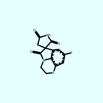 O=C1CC2(C(=O)N1)C(=O)N1CCSc3cc(F)cc2c31